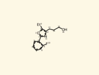 CCc1oc(-c2ccccc2F)nc1CCCO